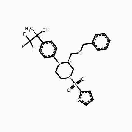 C[C@](O)(c1ccc(N2CCN(S(=O)(=O)c3cccs3)C[C@@H]2COCc2ccccc2)cc1)C(F)(F)F